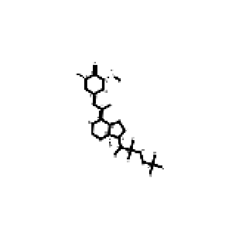 C=C1[C@H](C)C/C(=C/C(C)=C2\CCC[C@@]3(C)C2CCC3C(C)C(C)(C)CCC(C)(C)C)C[C@H]1OC